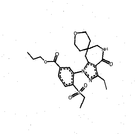 CCCOC(=O)c1ccc(S(=O)(=O)CC)c(-n2nc(CC)c3c2CC2(CCOCC2)CNC3=O)c1